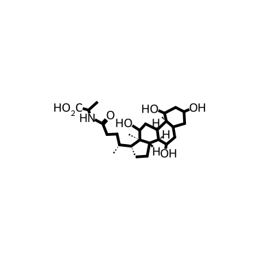 CC(NC(=O)CC[C@@H](C)[C@H]1CC[C@H]2[C@@H]3C(O)CC4CC(O)CC(O)[C@]4(C)[C@H]3CC(O)[C@]12C)C(=O)O